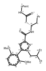 CCCCCNC(=O)C[C@H](CC(C)C)NC(=O)c1cc(-c2c(OC)cccc2OC)n(CC(CC)CC)n1